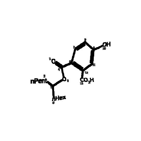 CCCCCCC(CCCCC)OC(=O)c1ccc(O)cc1C(=O)O